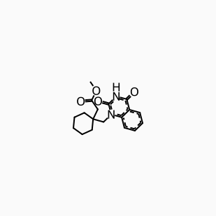 COC(=O)CC1(Cn2c(=O)[nH]c(=O)c3ccccc32)CCCCC1